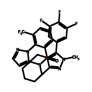 Cn1nc2c(c1-c1cc(F)c(F)c(F)c1)CC1CCCC2N1C(=O)c1cccc(C(F)(F)F)c1-n1nccn1